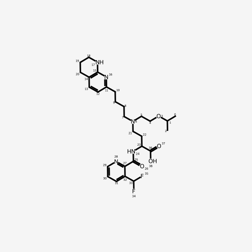 CC(C)OCCN(CCCCc1ccc2c(n1)NCCC2)CCC(NC(=O)c1ncccc1C(F)F)C(=O)O